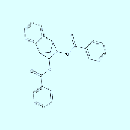 O=C(OC1C2CC(c3ccccc32)C1OC(=O)c1ccccc1)c1ccccc1